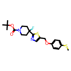 CSc1ccc(OCc2cnc(C3(F)CCN(C(=O)OC(C)(C)C)CC3)s2)cc1